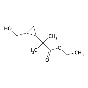 CCOC(=O)C(C)(C)C1CC1CO